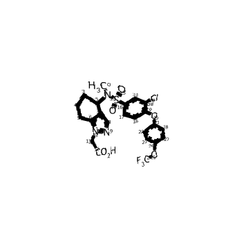 CN(C1CCCc2c1cnn2CC(=O)O)S(=O)(=O)c1ccc(Oc2ccc(OC(F)(F)F)cc2)c(Cl)c1